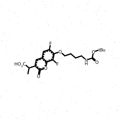 CC(C(=O)O)c1cc2cc(F)c(OCCCCNC(=O)OC(C)(C)C)c(F)c2oc1=O